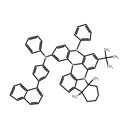 CC(C)(C)c1cc2c3c(c1)N1c4c(cccc4C4(C)CCCCC14C)B3c1cc(N(c3ccccc3)c3ccc(-c4cccc5ccccc45)cc3)ccc1N2c1ccccc1